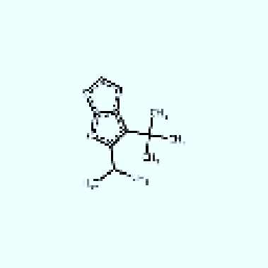 CC(C)c1oc2sccc2c1C(C)(C)C